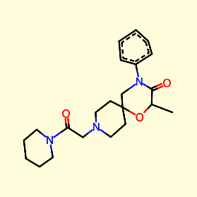 CC1OC2(CCN(CC(=O)N3CCCCC3)CC2)CN(c2ccccc2)C1=O